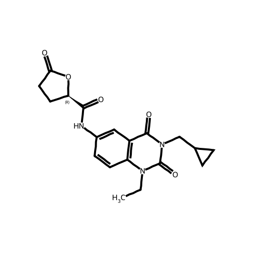 CCn1c(=O)n(CC2CC2)c(=O)c2cc(NC(=O)[C@H]3CCC(=O)O3)ccc21